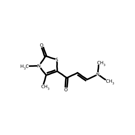 Cc1c(C(=O)C=CN(C)C)sc(=O)n1C